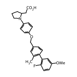 COc1ccc(F)c(-c2ccc(COc3ccc(N4CCCC4CC(=O)O)cc3)cc2C)c1